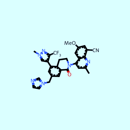 COc1cc(C#N)c2nc(C)cc(N3CCc4c(cc(Cn5ccnc5)cc4-c4cn(C)nc4C(F)(F)F)C3=O)c2c1